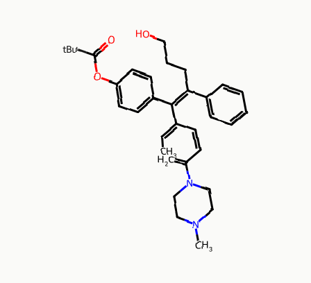 C=C(\C=C/C(=C\C)C(=C(/CCCO)c1ccccc1)/c1ccc(OC(=O)C(C)(C)C)cc1)N1CCN(C)CC1